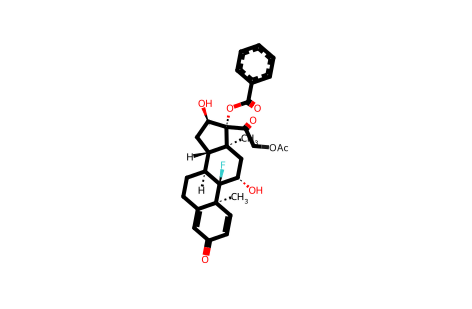 CC(=O)OCC(=O)[C@]1(OC(=O)c2ccccc2)[C@H](O)C[C@H]2[C@@H]3CCC4=CC(=O)C=C[C@]4(C)[C@@]3(F)[C@@H](O)C[C@@]21C